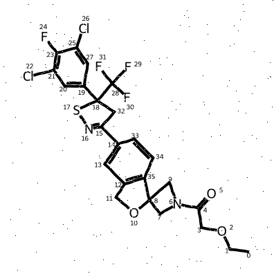 CCOCC(=O)N1CC2(C1)OCc1cc(C3=NSC(c4cc(Cl)c(F)c(Cl)c4)(C(F)(F)F)C3)ccc12